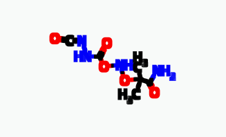 CC(C)(ONOC(=O)NN=C=O)C(N)=O